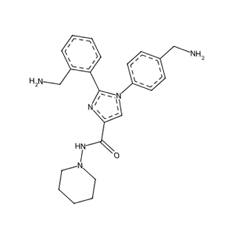 NCc1ccc(-n2cc(C(=O)NN3CCCCC3)nc2-c2ccccc2CN)cc1